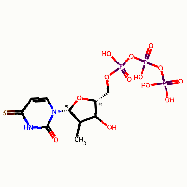 CC1C(O)[C@@H](COP(=O)(O)OP(=O)(O)OP(=O)(O)O)O[C@H]1n1ccc(=S)[nH]c1=O